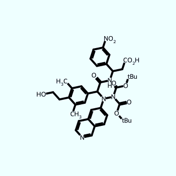 Cc1cc(C(C(=O)NC(CC(=O)O)c2cccc([N+](=O)[O-])c2)N(c2ccc3cnccc3c2)N(C(=O)OC(C)(C)C)C(=O)OC(C)(C)C)cc(C)c1CCO